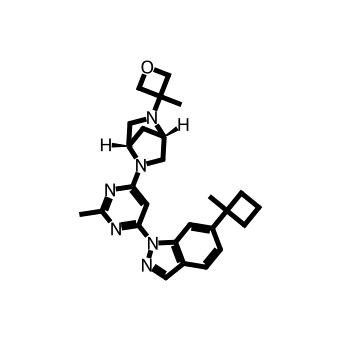 Cc1nc(N2C[C@@H]3C[C@H]2CN3C2(C)COC2)cc(-n2ncc3ccc(C4(C)CCC4)cc32)n1